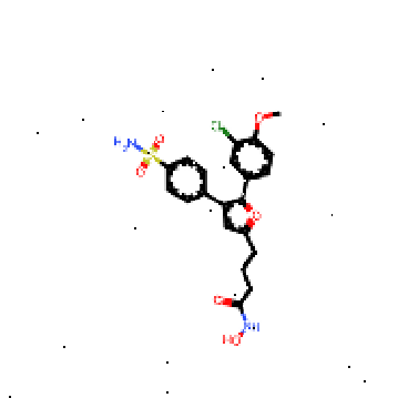 COc1ccc(-c2oc(CCCC(=O)NO)cc2-c2ccc(S(N)(=O)=O)cc2)cc1Cl